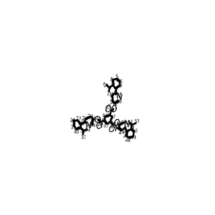 CC(C)c1ccccc1-c1ccc(OC(=O)c2cc(C(=O)Oc3ccc(-c4ccccc4C(C)C)nc3)cc(C(O)Oc3ccc(-c4ccccc4C(C)C)nc3)c2)cn1